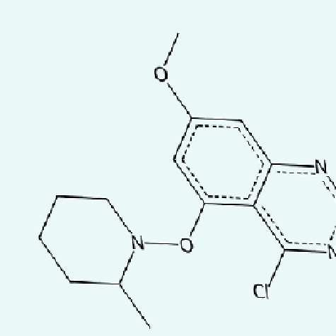 COc1cc(ON2CCCCC2C)c2c(Cl)ncnc2c1